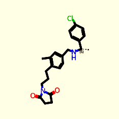 Cc1cc(CN[C@@H](C)c2ccc(Cl)cc2)ccc1CCCN1C(=O)CCC1=O